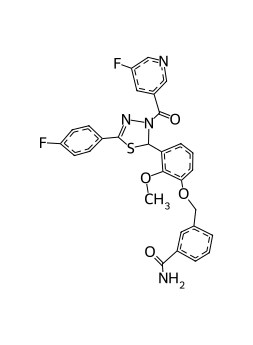 COc1c(OCc2cccc(C(N)=O)c2)cccc1C1SC(c2ccc(F)cc2)=NN1C(=O)c1cncc(F)c1